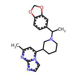 Cc1cc(C2CCCN(C(C)c3ccc4c(c3)OCO4)C2)n2ccnc2n1